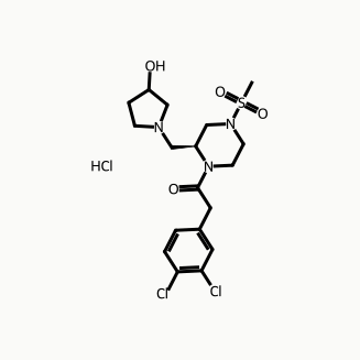 CS(=O)(=O)N1CCN(C(=O)Cc2ccc(Cl)c(Cl)c2)[C@@H](CN2CCC(O)C2)C1.Cl